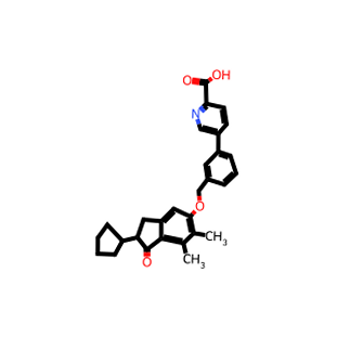 Cc1c(OCc2cccc(-c3ccc(C(=O)O)nc3)c2)cc2c(c1C)C(=O)C(C1CCCC1)C2